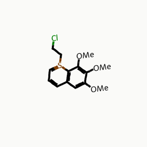 COc1cc2c(c(OC)c1OC)S(CCCl)=CC=C2